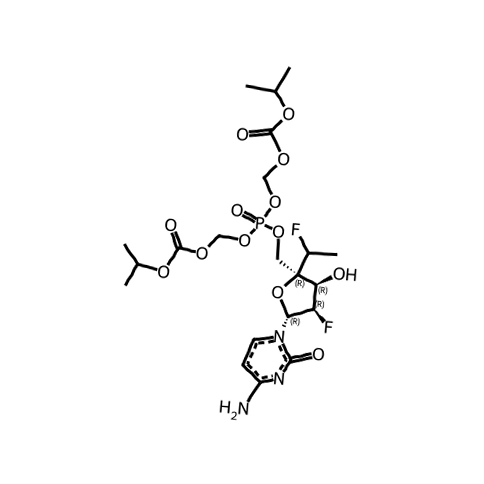 CC(C)OC(=O)OCOP(=O)(OCOC(=O)OC(C)C)OC[C@@]1(C(C)F)O[C@@H](n2ccc(N)nc2=O)[C@H](F)[C@@H]1O